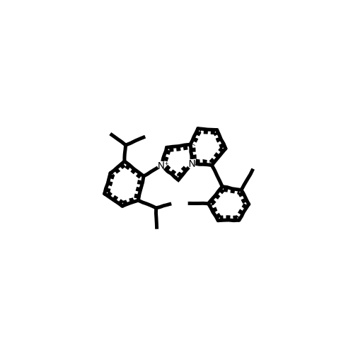 Cc1cccc(C)c1-c1cccc2c[n+](-c3c(C(C)C)cccc3C(C)C)cn12